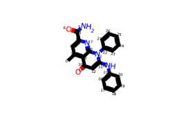 Cc1cc(C(N)=O)nc2c1c(=O)cc(Nc1ccccc1)n2-c1ccccc1